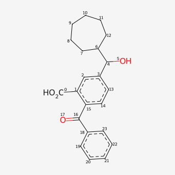 O=C(O)c1cc(C(O)C2CCCCCC2)ccc1C(=O)c1ccccc1